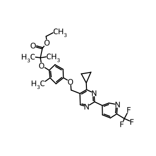 CCOC(=O)C(C)(C)Oc1ccc(OCc2cnc(-c3ccc(C(F)(F)F)nc3)nc2C2CC2)cc1C